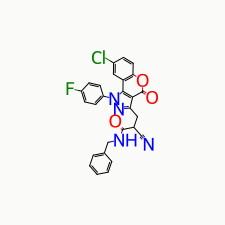 N#CC(Cc1nn(-c2ccc(F)cc2)c2c1c(=O)oc1ccc(Cl)cc12)C(=O)NCc1ccccc1